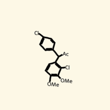 COc1ccc(C(C(C)=O)c2ccc(Cl)cc2)c(Cl)c1OC